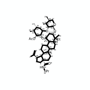 C=C(C)[C@@H]1CC[C@]2(C(=O)NCCC)CC[C@]3(C)C(CCC4[C@@]5(C)CC[C@H](O[C@@H]6OC[C@H](C)[C@H](C)[C@H]6OC6C[C@@H](C)[C@H](C)[C@@H](OC(C)=O)[C@H]6OC(C)=O)[C@@](C)(CC)[C@@H]5CC[C@]43C)C12